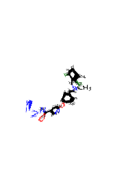 CN(CCc1ccc(Oc2ccc(C(N)=O)cn2)cc1)Cc1c(F)cccc1F